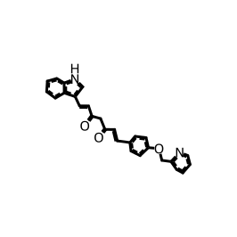 O=C(/C=C/c1ccc(OCc2ccccn2)cc1)CC(=O)/C=C/c1c[nH]c2ccccc12